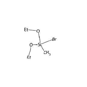 CCO[Si](C)(Br)OCC